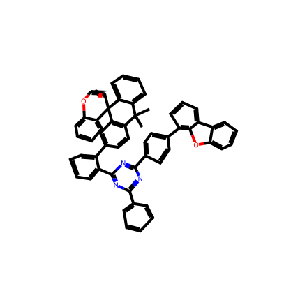 CC1(C)c2ccccc2C2(c3ccccc3Oc3ccccc32)c2cc(-c3ccccc3-c3nc(-c4ccccc4)nc(-c4ccc(-c5cccc6c5oc5ccccc56)cc4)n3)ccc21